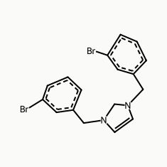 Brc1cccc(CN2C=CN(Cc3cccc(Br)c3)C2)c1